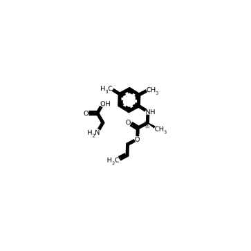 C=CCOC(=O)[C@H](C)Nc1ccc(C)cc1C.NCC(=O)O